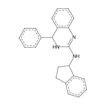 c1ccc(C2NC(NC3CCc4ccccc43)=Nc3ccccc32)cc1